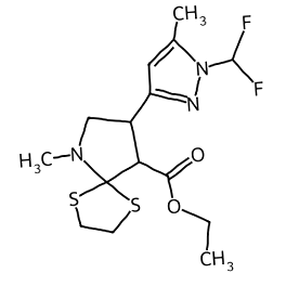 CCOC(=O)C1C(c2cc(C)n(C(F)F)n2)CN(C)C12SCCS2